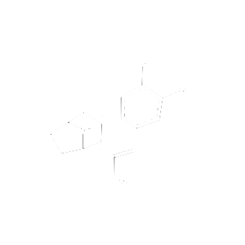 COC(=O)[C@@H]1C2CCC(C[C@@H]1c1ccc(N)c(Br)c1)N2C